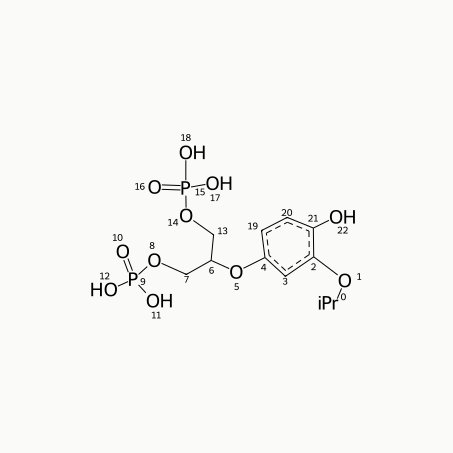 CC(C)Oc1cc(OC(COP(=O)(O)O)COP(=O)(O)O)ccc1O